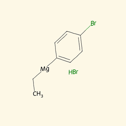 Br.C[CH2][Mg][c]1ccc(Br)cc1